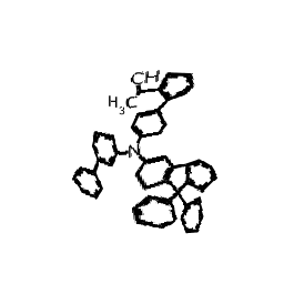 CC(C)c1ccccc1C1=CC=C(N(C2=CC3=C(CC2)C(c2ccccc2)(c2ccccc2)c2ccccc23)c2cccc(-c3ccccc3)c2)CC1